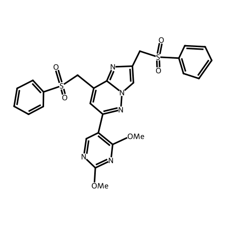 COc1ncc(-c2cc(CS(=O)(=O)c3ccccc3)c3nc(CS(=O)(=O)c4ccccc4)cn3n2)c(OC)n1